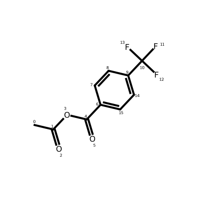 CC(=O)OC(=O)c1ccc(C(F)(F)F)cc1